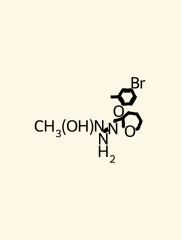 Cc1cc(Br)ccc1OC1(C/N=C(/N)N(C)O)CCCCOC1